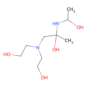 CC(O)NC(C)(O)CN(CCO)CCO